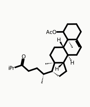 CC(=O)OC1CCCC2=CC[C@H]3[C@@H]4CC[C@H]([C@H](C)CCC(=O)C(C)C)[C@@]4(C)CC[C@@H]3[C@]21C